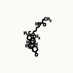 C=CC(=O)NCCCCOC1(C)CC[C@H]2[C@@H]3CCC4=CC(=O)CC[C@]4(C)[C@H]3CC[C@@]21C